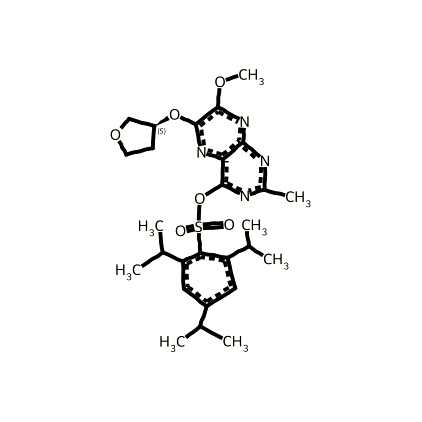 COc1nc2nc(C)nc(OS(=O)(=O)c3c(C(C)C)cc(C(C)C)cc3C(C)C)c2nc1O[C@H]1CCOC1